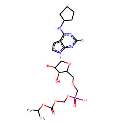 CC(C)OC(=O)OCOP(=O)(O)COCC1O[C@@H](n2ccc3c(NC4CCCC4)nc(Cl)nc32)[C@H](O)[C@@H]1O